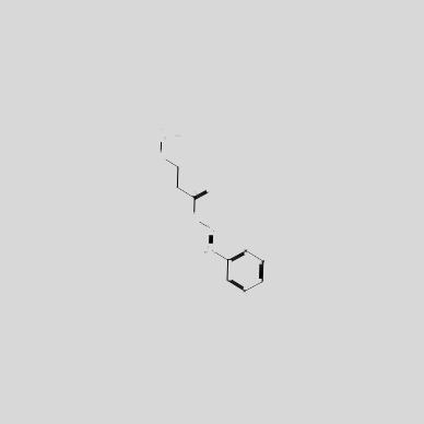 CCCCCCCOCCC(=O)ON=Nc1ccccc1